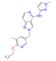 Cc1cc(Cn2cc3c(Nc4ccn(C)n4)nccc3n2)cnc1OCC(F)(F)F